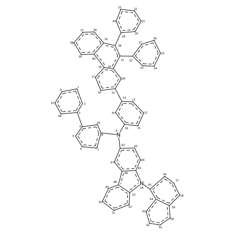 c1ccc(-c2cccc(N(c3cccc(-c4ccc5c(c4)c(-c4ccccc4)c(-c4ccccc4)c4ccccc45)c3)c3ccc4c(c3)c3ccccc3n4-c3cccc4ccccc34)c2)cc1